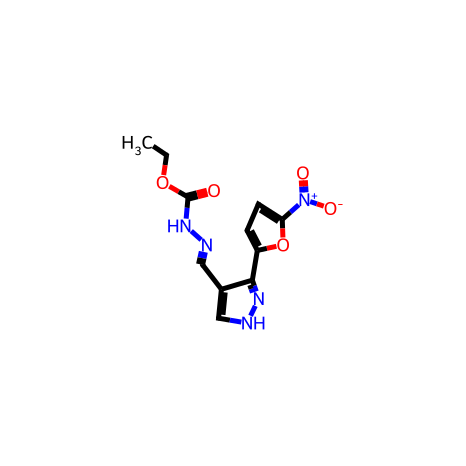 CCOC(=O)NN=Cc1c[nH]nc1-c1ccc([N+](=O)[O-])o1